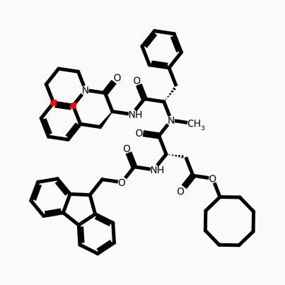 CN(C(=O)[C@H](CC(=O)OC1CCCCCCC1)NC(=O)OCC1c2ccccc2-c2ccccc21)[C@@H](Cc1ccccc1)C(=O)N[C@@H](Cc1ccccc1)C(=O)N1CCCCC1